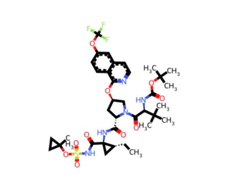 CC[C@@H]1C[C@]1(NC(=O)[C@@H]1C[C@@H](Oc2nccc3cc(OC(F)(F)F)ccc23)CN1C(=O)[C@@H](NC(=O)OC(C)(C)C)C(C)(C)C)C(=O)NS(=O)(=O)OC1(C)CC1